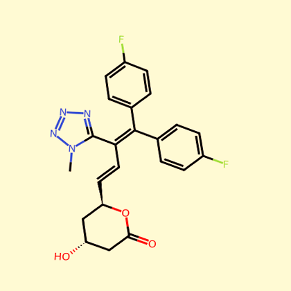 Cn1nnnc1C(C=C[C@@H]1C[C@@H](O)CC(=O)O1)=C(c1ccc(F)cc1)c1ccc(F)cc1